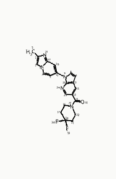 Cc1cn2ccc(-n3ccc4cc(C(=O)N5CCC(F)(F)CC5)cnc43)cc2n1